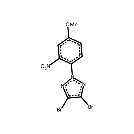 COc1ccc(-n2nc(Br)c(Br)n2)c([N+](=O)[O-])c1